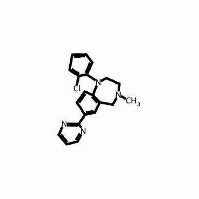 CN1CCN(c2ccccc2Cl)c2ccc(-c3ncccn3)cc2C1